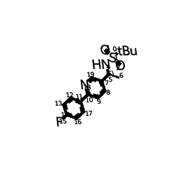 [CH2]C(C)(C)S(=O)(=O)N[C@@H](C)c1ccc(-c2ccc(F)cc2)nc1